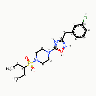 CCC(CC)S(=O)(=O)N1CCN(c2nc(Cc3cccc(Cl)c3)no2)CC1